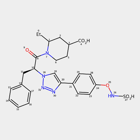 CCC1CC(C(=O)O)CCN1C(=O)[C@H](Cc1ccccc1)n1cc(-c2ccc(ONS(=O)(=O)O)cc2)nn1